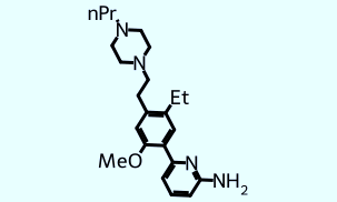 CCCN1CCN(CCc2cc(OC)c(-c3cccc(N)n3)cc2CC)CC1